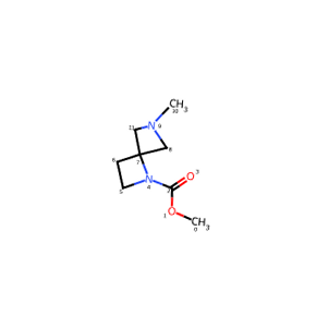 COC(=O)N1CCC12CN(C)C2